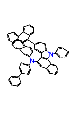 c1ccc(-c2ccc(N(c3ccc4ccccc4c3)c3cc4ccccc4c4c3c3cc(-c5cc6ccccc6c6ccccc56)ccc3n4-c3ccccc3)cc2)cc1